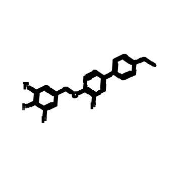 CCc1ccc(-c2ccc(OCc3cc(F)c(F)c(F)c3)c(F)c2)cc1